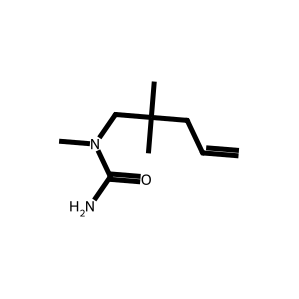 C=CCC(C)(C)CN(C)C(N)=O